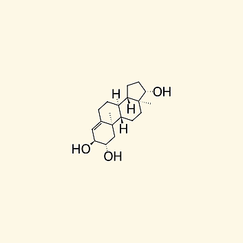 C[C@]12CC[C@H]3[C@@H](CCC4=C[C@H](O)[C@@H](O)C[C@@]43C)[C@@H]1CC[C@@H]2O